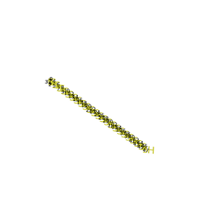 CS(C)(C)SSSSSSSSSSSSSSSSSSSSSSSSSSSSSSSSSSSSSSSSSSSS